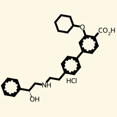 Cl.O=C(O)c1ccc(-c2ccc(CCNC[C@H](O)c3ccccc3)cc2)cc1OC1CCCCC1